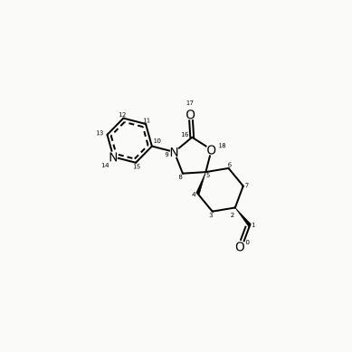 O=C[C@H]1CC[C@@]2(CC1)CN(c1cccnc1)C(=O)O2